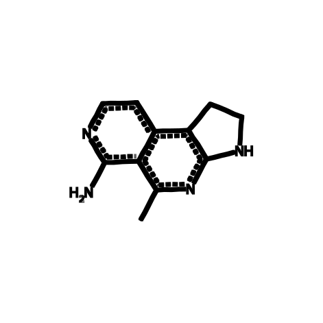 Cc1nc2c(c3ccnc(N)c13)CCN2